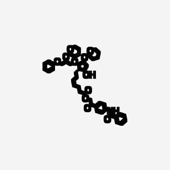 O=C(CC/C=C\CC[C@@H]1[C@@H](OCC(COc2ccccc2)OC2CCCCO2)[C@@H](OC2CCCCO2)C[C@H]1O)OCC(=O)c1ccc(NC(=O)c2ccccc2)cc1